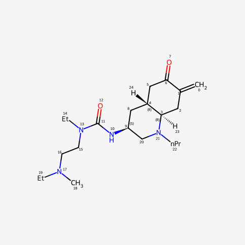 C=C1C[C@@H]2[C@@H](CC1=O)C[C@H](NC(=O)N(CC)CCN(C)CC)CN2CCC